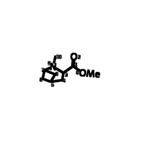 COC(=O)C1CC2CC(C2)N1C